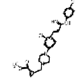 COC(=O)C1CC1CN1CCN(c2ccc(/C=C/C(=N)Nc3ccc(Cl)cc3)c(Cl)c2)CC1